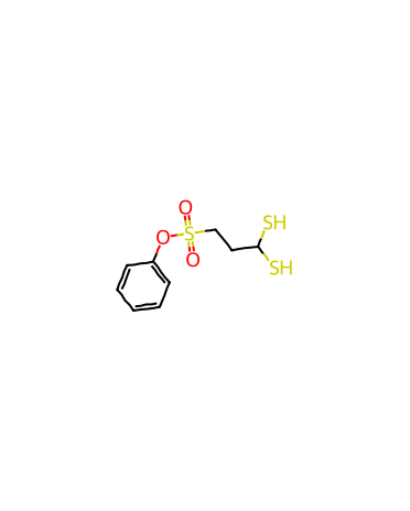 O=S(=O)(CCC(S)S)Oc1ccccc1